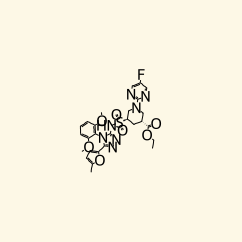 CCOC(=O)[C@@H]1C[C@@H](S(=O)(=O)Nc2nnc(-c3ccc(C)o3)n2-c2c(OC)cccc2OC)CN(c2ncc(F)cn2)C1